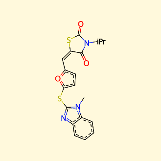 CC(C)N1C(=O)SC(=Cc2ccc(Sc3nc4ccccc4n3C)o2)C1=O